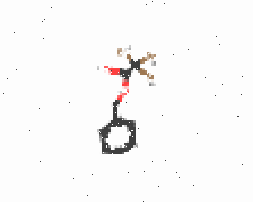 O=C(OCc1ccccc1)C(Br)(Br)Br